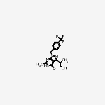 Cc1nc2c(c(C(C)CO)nn2Cc2ccc(C(F)(F)F)cc2)c(=O)[nH]1